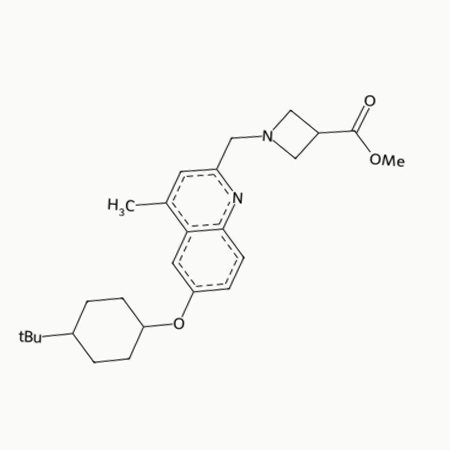 COC(=O)C1CN(Cc2cc(C)c3cc(OC4CCC(C(C)(C)C)CC4)ccc3n2)C1